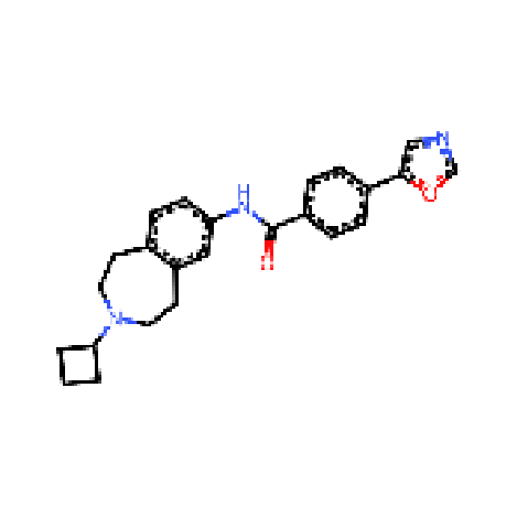 O=C(Nc1ccc2c(c1)CCN(C1CCC1)CC2)c1ccc(-c2cnco2)cc1